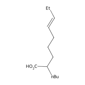 CCC=CCCCC(CCCC)C(=O)O